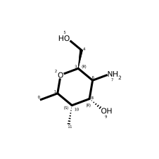 CC1O[C@@H](CO)C(N)[C@H](O)[C@@H]1C